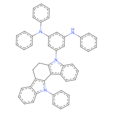 c1ccc(Nc2cc(N(c3ccccc3)c3ccccc3)cc(-n3c4c(c5ccccc53)-c3c(c5ccccc5n3-c3ccccc3)CC4)c2)cc1